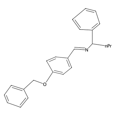 CCCC(N=Cc1ccc(OCc2ccccc2)cc1)c1ccccc1